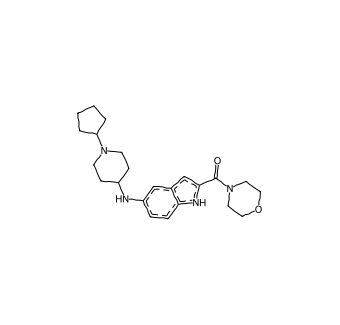 O=C(c1cc2cc(NC3CCN(C4CCCC4)CC3)ccc2[nH]1)N1CCOCC1